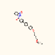 COCCCCCCOc1ccc(-c2ccc(-c3ccc(C(=O)n4n[n+]([O-])c5ccccc54)cc3)cc2)cc1